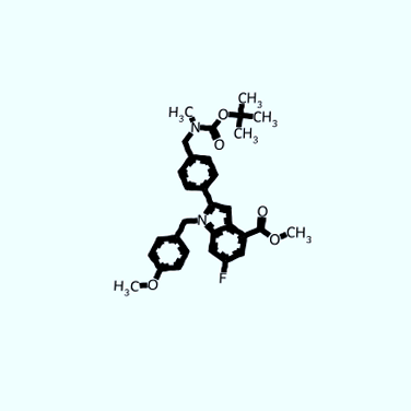 COC(=O)c1cc(F)cc2c1cc(-c1ccc(CN(C)C(=O)OC(C)(C)C)cc1)n2Cc1ccc(OC)cc1